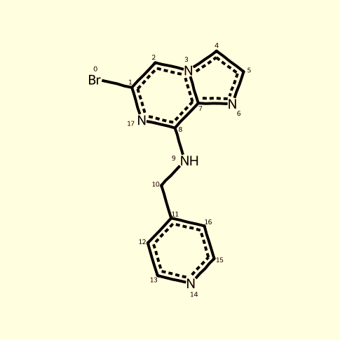 Brc1cn2ccnc2c(NCc2ccncc2)n1